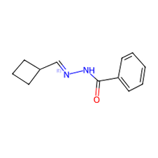 O=C(N/N=C/C1CCC1)c1ccccc1